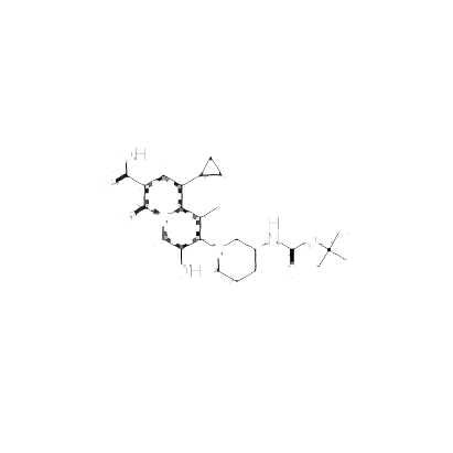 Cc1c(N2C[C@@H](C)C[C@H](NC(=O)OC(C)(C)C)C2)c(O)cn2c(=O)c(C(=O)O)cc(C3CC3)c12